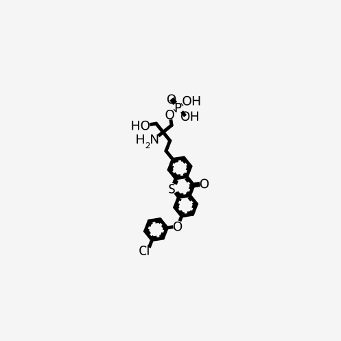 NC(CO)(CCc1ccc2c(=O)c3ccc(Oc4cccc(Cl)c4)cc3sc2c1)COP(=O)(O)O